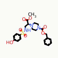 COC(=O)C(CNS(=O)(=O)c1ccc(O)cc1)N1CCN(C(=O)OCc2ccccc2)CC1